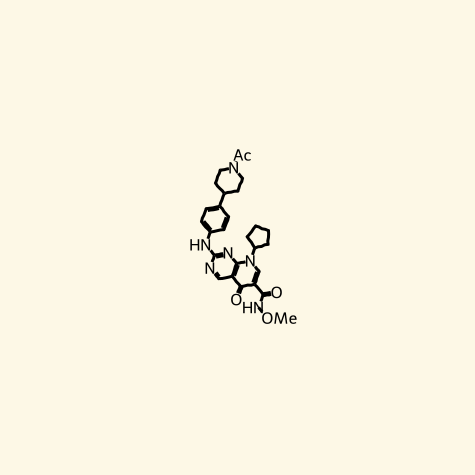 CONC(=O)c1cn(C2CCCC2)c2nc(Nc3ccc(C4CCN(C(C)=O)CC4)cc3)ncc2c1=O